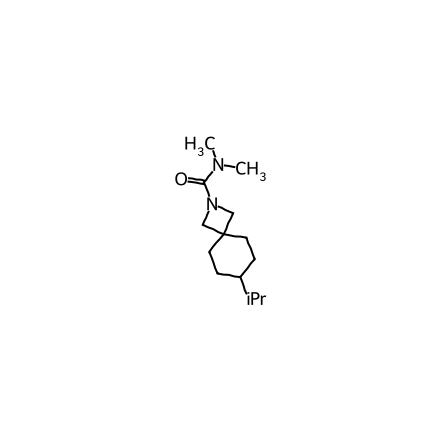 CC(C)C1CCC2(CC1)CN(C(=O)N(C)C)C2